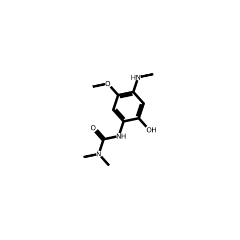 CNc1cc(O)c(NC(=O)N(C)C)cc1OC